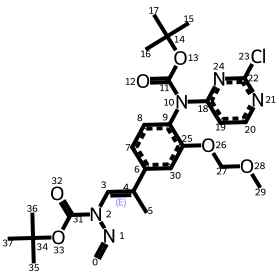 C=NN(/C=C(\C)c1ccc(N(C(=O)OC(C)(C)C)c2ccnc(Cl)n2)c(OCOC)c1)C(=O)OC(C)(C)C